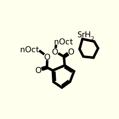 C1CCCCC1.CCCCCCCCOC(=O)c1ccccc1C(=O)OCCCCCCCC.[SrH2]